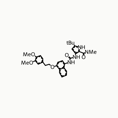 CNC(=O)c1[nH]c(C(C)(C)C)cc1NC(=O)Nc1ccc(OCCc2ccc(OC)c(OC)c2)c2ccccc12